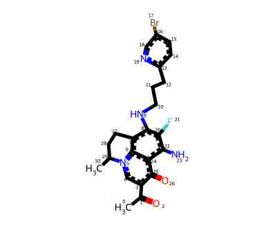 CC(=O)c1cn2c3c(c(NCCCc4ccc(Br)cn4)c(F)c(N)c3c1=O)CCC2C